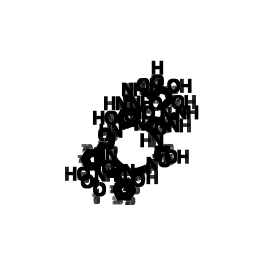 COC(=O)Nc1cc(CC2NC(=O)C(C(C)c3ccccc3)NC(=O)CNC(=O)C(CO)NC(=O)C(C(O)C3CNC(=N)N3C3OC(CO)C(O)C(O)C3O)NC(=O)C(C(O)C3CNC(=N)N3)NC2=O)ccc1O